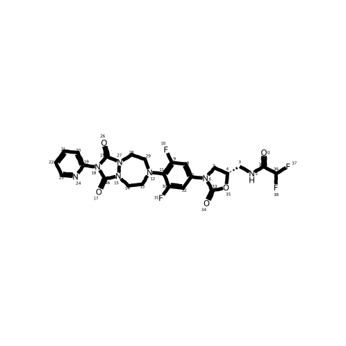 O=C(NC[C@H]1CN(c2cc(F)c(N3CCn4c(=O)n(-c5ccccn5)c(=O)n4CC3)c(F)c2)C(=O)O1)C(F)F